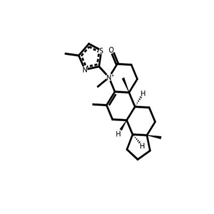 CC1=C2[C@](C)(CCC(=O)[N+]2(C)c2nc(C)cs2)[C@H]2CC[C@]3(C)CCC[C@H]3[C@@H]2C1